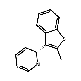 Cc1sc2ccccc2c1[C@H]1C=CN=CN1